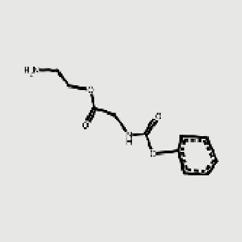 NCCOC(=O)CNC(=O)Oc1ccccc1